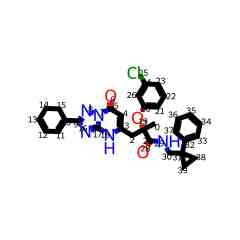 CC(Cc1cc(=O)n2nc(C3=CC=CCC3)nc2[nH]1)(Oc1cccc(Cl)c1)C(=O)NCC1(c2ccccc2)CC1